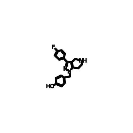 Oc1ccc(Cn2nc(-c3ccc(F)cc3)c3c2CCNC3)cc1